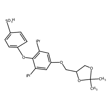 CC(C)c1cc(OCC2COC(C)(C)O2)cc(C(C)C)c1Oc1ccc(S(=O)(=O)O)cc1